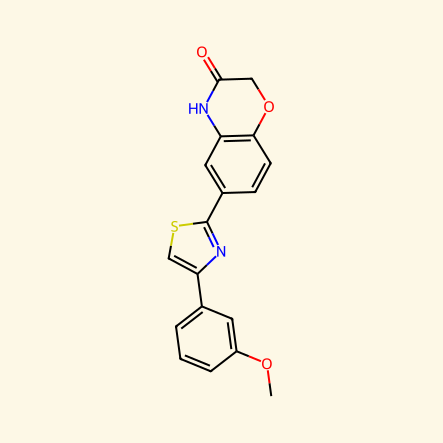 COc1cccc(-c2csc(-c3ccc4c(c3)NC(=O)CO4)n2)c1